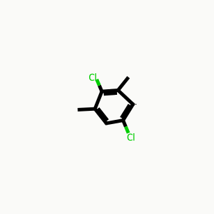 Cc1[c]c(Cl)cc(C)c1Cl